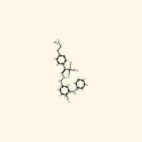 CCCc1ccc(C(=COCc2ccc(F)c(Oc3ccccc3)c2)C(F)(F)F)cc1